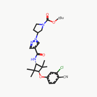 CC(C)(C)OC(=O)N1CCC(n2cc(C(=O)N[C@H]3C(C)(C)[C@H](Oc4ccc(C#N)c(Cl)c4)C3(C)C)cn2)C1